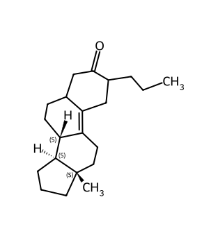 CCCC1CC2=C3CC[C@]4(C)CCC[C@H]4[C@@H]3CCC2CC1=O